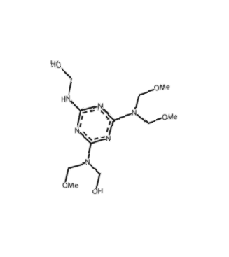 COCN(CO)c1nc(NCO)nc(N(COC)COC)n1